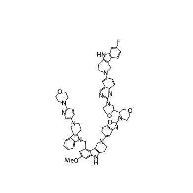 COc1cc(Cn2c3c(c4ccccc42)CN(c2ccc(N4CCOCC4)nc2)CC3)c2c3c([nH]c2c1)CCN(c1ccc2oc(N4CCOCC4C4CN(c5ncc6cc(N7CCc8[nH]c9cc(F)ccc9c8C7)ccc6n5)CCO4)nc2c1)C3